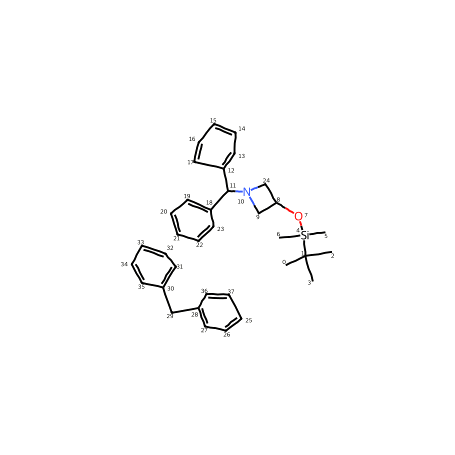 CC(C)(C)[Si](C)(C)OC1CN(C(c2ccccc2)c2ccccc2)C1.c1ccc(Cc2ccccc2)cc1